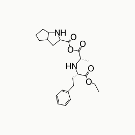 CCOC(=O)[C@H](CCc1ccccc1)N[C@@H](C)C(=O)OC(=O)C1CC2CCCC2N1